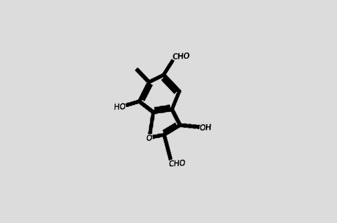 Cc1c(C=O)cc2c(O)c(C=O)oc2c1O